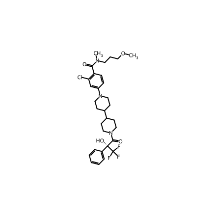 COCCCN(C)C(=O)c1ccc(N2CCC(C3CCN(C(=O)[C@](O)(c4ccccc4)C(F)(F)F)CC3)CC2)cc1Cl